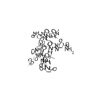 CCc1nc(C)oc1C(=O)Nc1nc2cc(C(N)=O)cc(OC)c2n1C/C=C/Cn1c(NC(=O)c2oc(C)nc2CC)nc2cc(C(N)=O)cc(OCCCNC(=O)[C@@H](CCC(=O)OC(C)(C)C)NC(=O)[C@@H](CNC(=O)CN3C(=O)C=CC3=O)NC(=O)OC(C)(C)C)c21